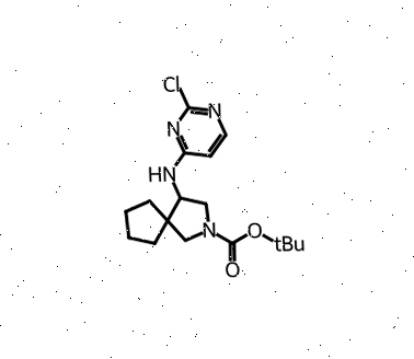 CC(C)(C)OC(=O)N1CC(Nc2ccnc(Cl)n2)C2(CCCC2)C1